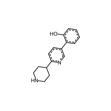 Oc1ccccc1-c1ccc(C2CCNCC2)nc1